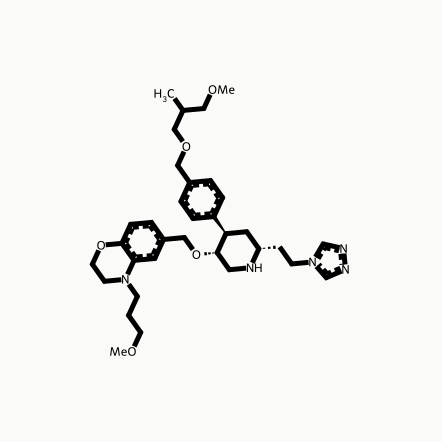 COCCCN1CCOc2ccc(CO[C@H]3CN[C@@H](CCn4cnnc4)C[C@@H]3c3ccc(COCC(C)COC)cc3)cc21